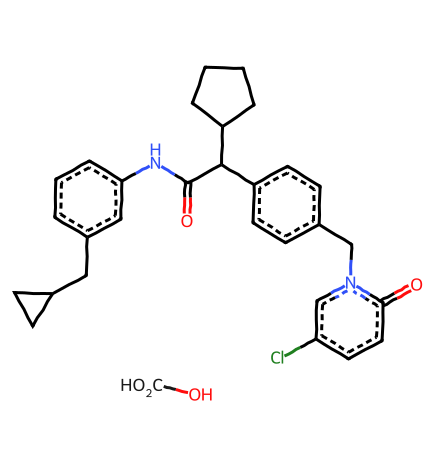 O=C(Nc1cccc(CC2CC2)c1)C(c1ccc(Cn2cc(Cl)ccc2=O)cc1)C1CCCC1.O=C(O)O